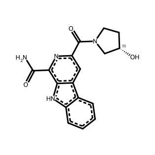 NC(=O)c1nc(C(=O)N2CC[C@H](O)C2)cc2c1[nH]c1ccccc12